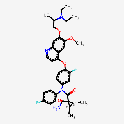 CCN(CC)C(C)COc1cc2nccc(Oc3ccc(N(C(=O)C4(C(N)=O)[C@H](C)[C@H]4C)c4ccc(F)cc4)cc3F)c2cc1OC